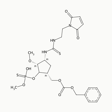 CO[C@H]1C(OP(O)(=S)OC)[C@@H](COC(=O)OCc2ccccc2)C[C@H]1NC(=S)NCCN1C(=O)C=CC1=O